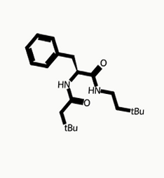 CC(C)(C)CCNC(=O)[C@H](Cc1ccccc1)NC(=O)CC(C)(C)C